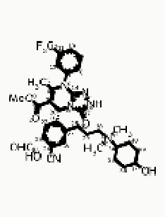 COC(=O)C1=C(C)N(c2cccc(C(F)(F)F)c2)c2n[nH]c(=O)n2[C@@H]1c1ccc(C#N)cc1CCC[N+](C)(C)C1CCC(O)CC1.O=CO